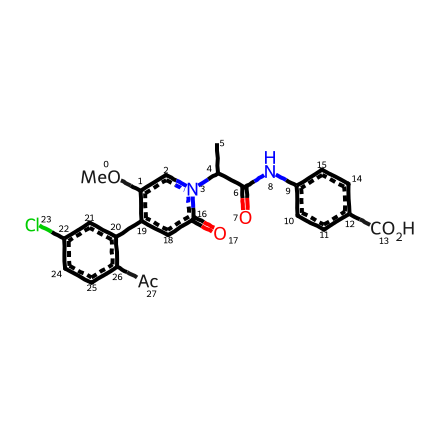 COc1cn(C(C)C(=O)Nc2ccc(C(=O)O)cc2)c(=O)cc1-c1cc(Cl)ccc1C(C)=O